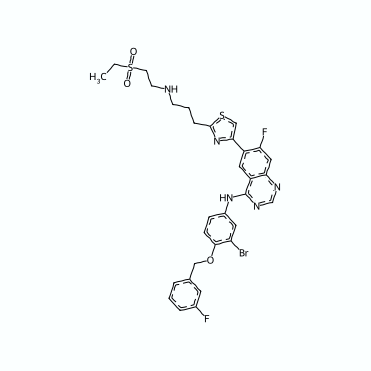 CCS(=O)(=O)CCNCCCc1nc(-c2cc3c(Nc4ccc(OCc5cccc(F)c5)c(Br)c4)ncnc3cc2F)cs1